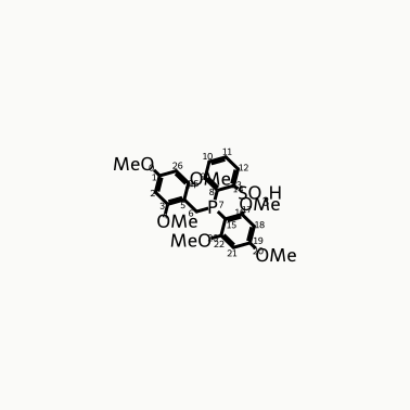 COc1cc(OC)c(CP(c2ccccc2S(=O)(=O)O)c2c(OC)cc(OC)cc2OC)c(OC)c1